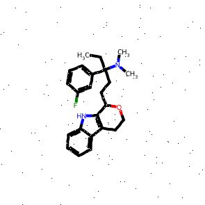 CCC(CCC1OCCc2c1[nH]c1ccccc21)(c1cccc(F)c1)N(C)C